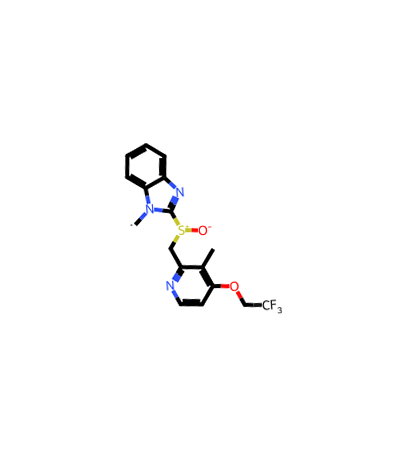 [CH2]n1c([S+]([O-])Cc2nccc(OCC(F)(F)F)c2C)nc2ccccc21